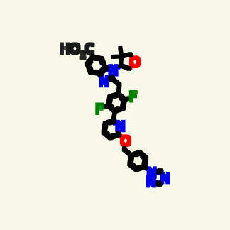 CC1(C)COC[C@H]1n1c(Cc2cc(F)c(-c3cccc(OCc4ccc(-n5cncn5)cc4)n3)cc2F)nc2ccc(C(=O)O)cc21